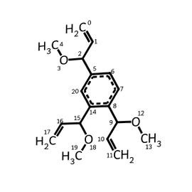 C=CC(OC)c1ccc(C(C=C)OC)c(C(C=C)OC)c1